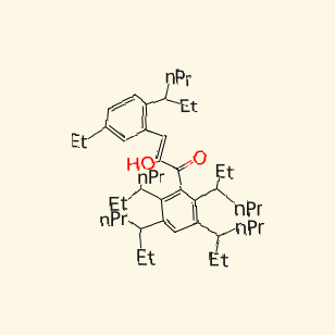 CCCC(CC)c1ccc(CC)cc1C=C(O)C(=O)c1c(C(CC)CCC)c(C(CC)CCC)cc(C(CC)CCC)c1C(CC)CCC